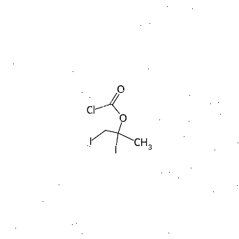 CC(I)(CI)OC(=O)Cl